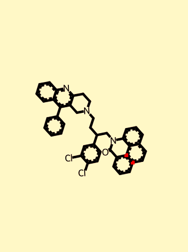 O=C(c1ccccc1)N(CC(CCN1CCc2nc3ccccc3c(-c3ccccc3)c2C1)c1ccc(Cl)c(Cl)c1)c1cccc2ccccc12